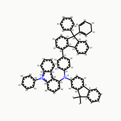 CC1(C)c2ccccc2-c2ccc(N(c3ccc(-c4cccc5c4-c4ccccc4C5(C4=CCCC=C4)c4ccccc4)cc3)c3cccc4c3c3ccccc3n4-c3ccccc3)cc21